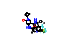 C[C@@H](NC(=O)c1cn(C23CC(C2)C3)c(=O)cc1N[C@H]1[C@@H]2CN(C)C[C@@H]21)c1cccc(S(F)(F)(F)(F)F)c1F